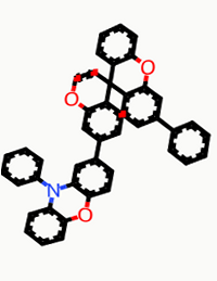 c1ccc(-c2ccc3c(c2)Oc2ccccc2C32c3ccccc3Oc3cc(-c4ccc5c(c4)N(c4ccccc4)c4ccccc4O5)ccc32)cc1